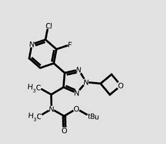 CC(c1nn(C2COC2)nc1-c1ccnc(Cl)c1F)N(C)C(=O)OC(C)(C)C